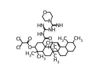 CC1CCC2CCC3(C)C(=CCC4C5(C)C(C(=O)NC(=N)NC(=N)N6CCOCC6)CC(OC(=O)C(Cl)Cl)C(C)(C)C5CCC43C)C2C1C